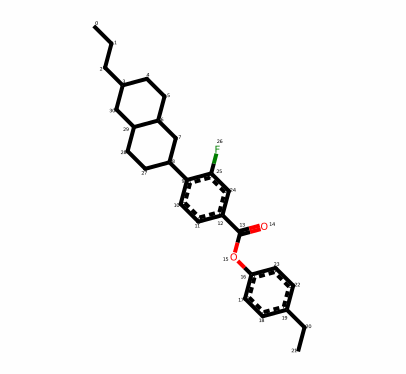 CCCC1CCC2CC(c3ccc(C(=O)Oc4ccc(CC)cc4)cc3F)CCC2C1